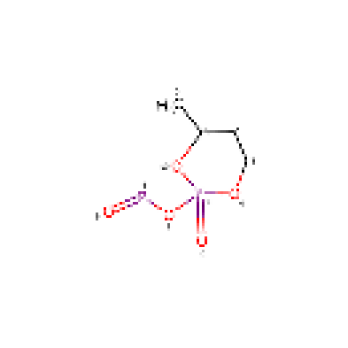 CC1CCOP(=O)(OP=O)O1